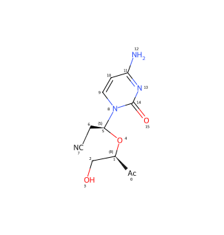 CC(=O)[C@@H](CO)O[C@@H](CC#N)n1ccc(N)nc1=O